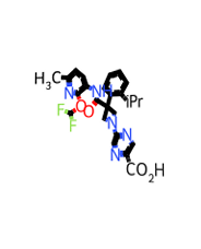 Cc1ccc(NC(=O)C2(c3ccccc3C(C)C)CN(c3cnc(C(=O)O)cn3)C2)c(OC(F)F)n1